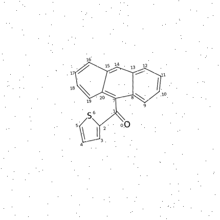 O=C(c1cccs1)c1c2ccccc2cc2ccccc12